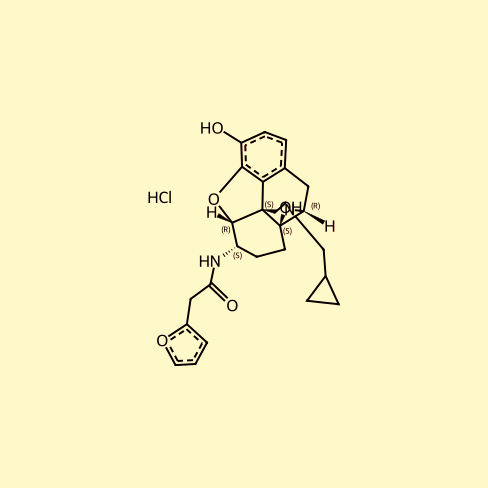 Cl.O=C(Cc1ccco1)N[C@H]1CC[C@@]2(O)[C@H]3Cc4ccc(O)c5c4[C@@]2(CCN3CC2CC2)[C@H]1O5